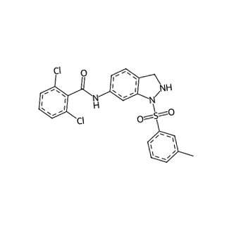 Cc1cccc(S(=O)(=O)N2NCc3ccc(NC(=O)c4c(Cl)cccc4Cl)cc32)c1